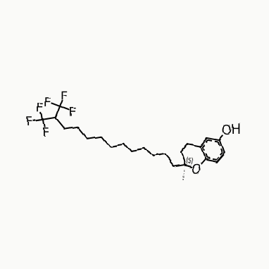 C[C@]1(CCCCCCCCCCCC(C(F)(F)F)C(F)(F)F)CCc2cc(O)ccc2O1